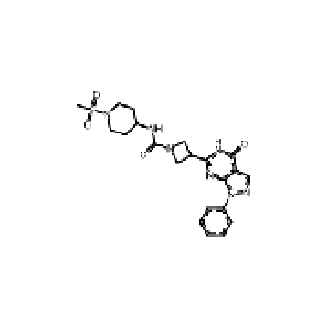 CS(=O)(=O)N1CCC(NC(=O)N2CC(c3nc4c(cnn4-c4ccccc4)c(=O)[nH]3)C2)CC1